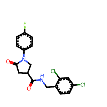 O=C(NCc1ccc(Cl)cc1Cl)C1CC(=O)N(c2ccc(F)cc2)C1